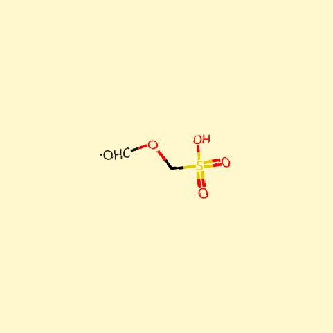 O=[C]OCS(=O)(=O)O